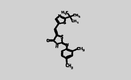 Cc1ccc(N=C2NC(=O)C(=Cc3cnc(C(C)(C)C)s3)S2)c(C)c1